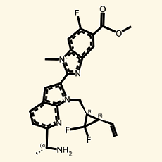 C=C[C@@H]1[C@H](Cn2c(-c3nc4cc(C(=O)OC)c(F)cc4n3C)cc3ccc([C@@H](C)N)nc32)C1(F)F